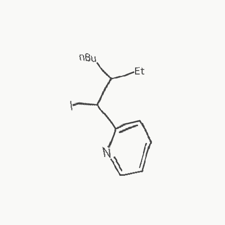 CCCCC(CC)C(I)c1ccccn1